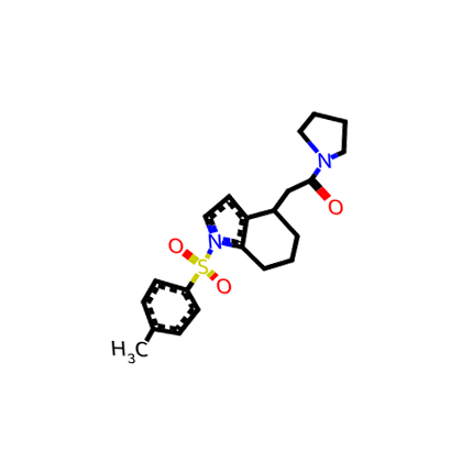 Cc1ccc(S(=O)(=O)n2ccc3c2CCCC3CC(=O)N2CCCC2)cc1